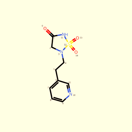 O=C1CN(CCc2cccnc2)S(=O)(=O)N1